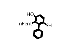 CCCCCc1c(O)ccc(S)c1-c1ccccc1